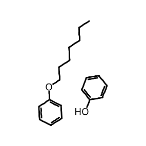 CCCCCCCOc1ccccc1.Oc1ccccc1